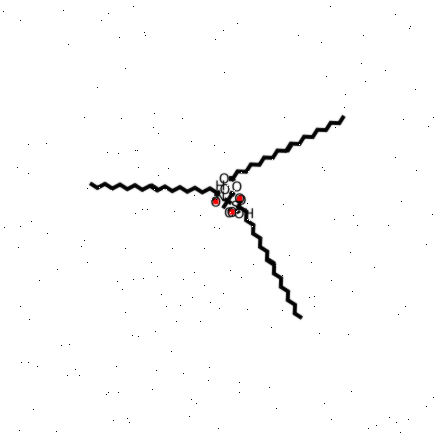 CCCCCCCCC=CCCCCCCCC(=O)OC(OC(=O)CCCCCCCC=CCCCCCCCC)(OC(=O)CCCCCCCC=CCCCCCCCC)C(C)(NC)S(=O)(=O)O